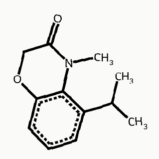 CC(C)c1cccc2c1N(C)C(=O)CO2